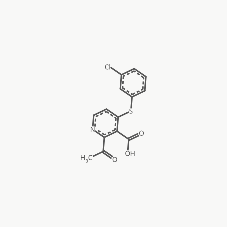 CC(=O)c1nccc(Sc2cccc(Cl)c2)c1C(=O)O